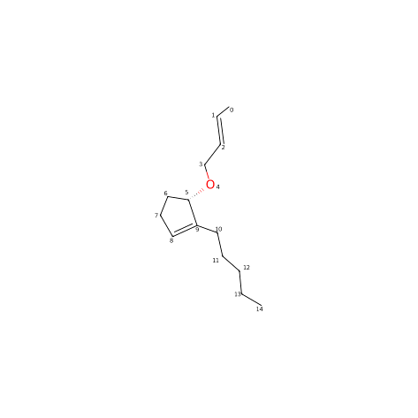 CC=CCO[C@H]1CCC=C1CCCCC